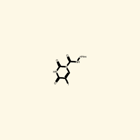 CCCCCCNC(=O)n1cc(I)c(=O)[nH]c1=O